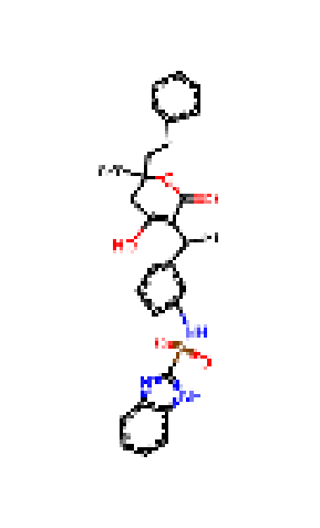 CCCC1(CCc2ccccc2)CC(O)=C(C(CC)c2cccc(NS(=O)(=O)c3nc4ccccc4[nH]3)c2)C(=O)O1